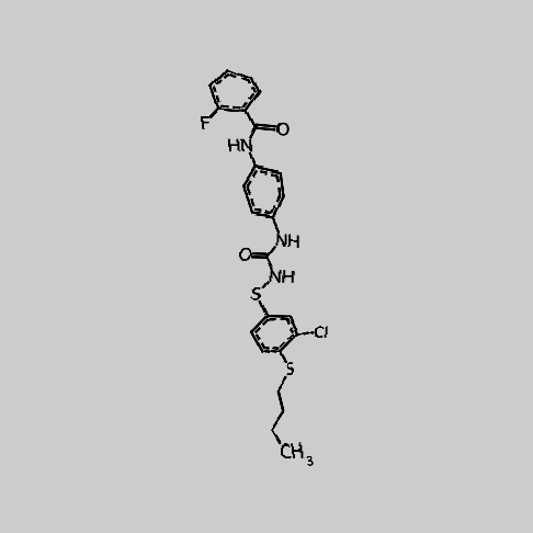 CCCCSc1ccc(SNC(=O)Nc2ccc(NC(=O)c3ccccc3F)cc2)cc1Cl